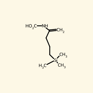 C=C(CCC[Si](C)(C)C)NC(=O)O